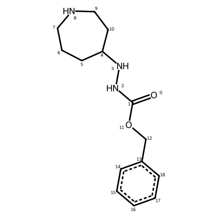 O=C(NNC1CCCNCC1)OCc1ccccc1